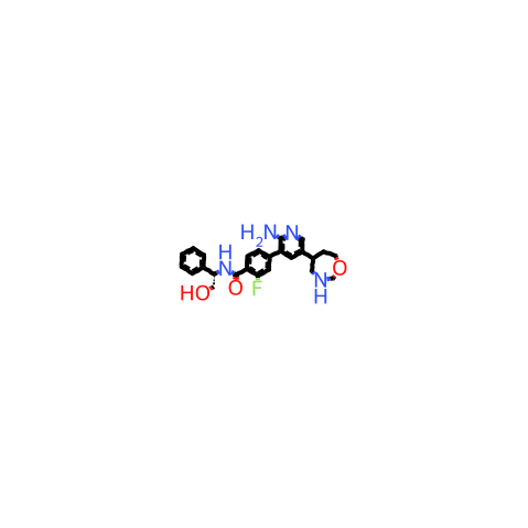 Nc1ncc(C2CCOCNC2)cc1-c1ccc(C(=O)N[C@H](CO)c2ccccc2)c(F)c1